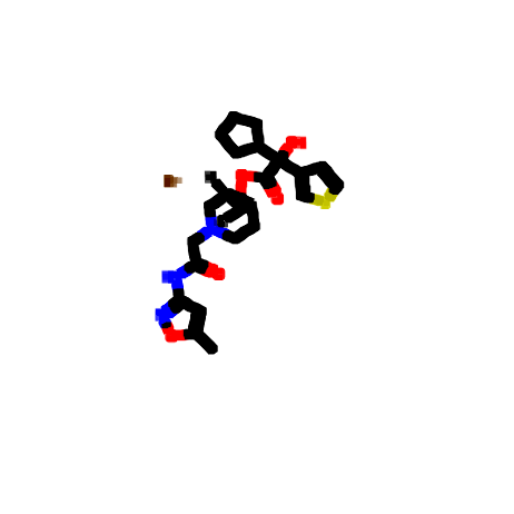 Cc1cc(NC(=O)C[N+]23CCC(CC2)[C@@H](OC(=O)C(O)(c2ccsc2)C2CCCC2)C3)no1.[Br-]